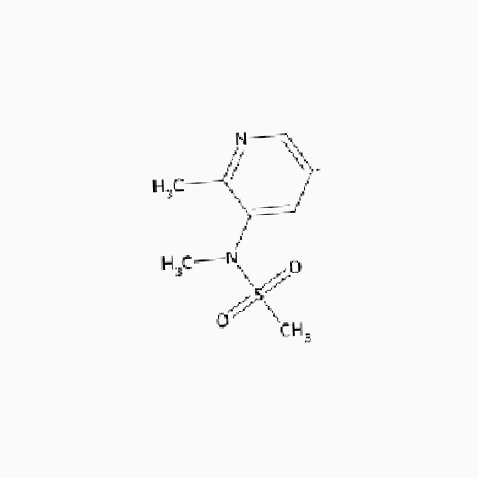 Cc1nc[c]cc1N(C)S(C)(=O)=O